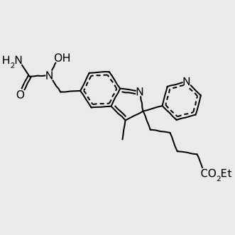 CCOC(=O)CCCCC1(c2cccnc2)N=c2ccc(CN(O)C(N)=O)cc2=C1C